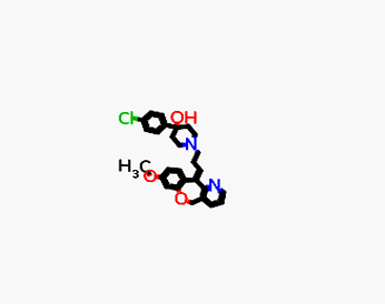 COc1ccc2c(c1)OCc1cccnc1/C2=C/CCN1CCC(O)(c2ccc(Cl)cc2)CC1